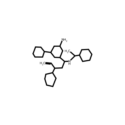 C=CC(CC(NC(C)C1CCCCC1)C1CC(N)CC(C2CCCCC2)C1)C1CCCCC1